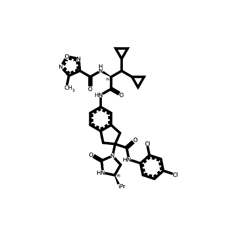 Cc1nonc1C(=O)N[C@H](C(=O)Nc1ccc2c(c1)CC(C(=O)Nc1ccc(Cl)cc1Cl)(N1C[C@@H](C(C)C)NC1=O)C2)C(C1CC1)C1CC1